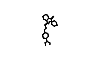 C=C(C1CCCCC1/C=C/CCC1CCC(C(CC)CC)CC1)C1(CC)CCCCC1